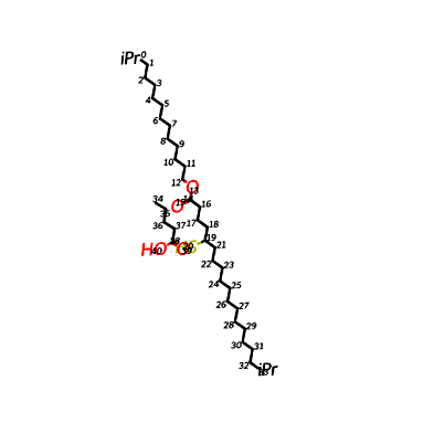 CC(C)CCCCCCCCCCCCOC(=O)CCCC(S)CCCCCCCCCCCCC(C)C.CCCCC(=O)O